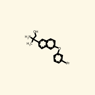 CC(C)c1cccc(Oc2ccc3cc(C(C)(N)CO)ccc3c2)c1